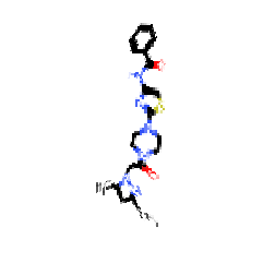 Cc1cc(C(F)(F)F)nn1CC(=O)N1CCN(c2nc(NC(=O)c3ccccc3)cs2)CC1